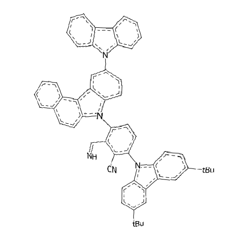 CC(C)(C)c1ccc2c(c1)c1cc(C(C)(C)C)ccc1n2-c1ccc(-n2c3ccc(-n4c5ccccc5c5ccccc54)cc3c3c4ccccc4ccc32)c(C=N)c1C#N